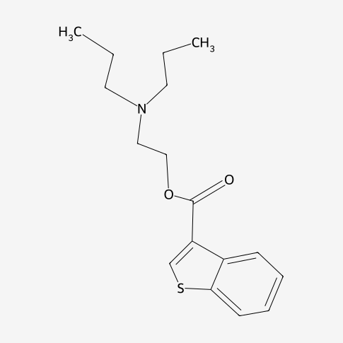 CCCN(CCC)CCOC(=O)c1csc2ccccc12